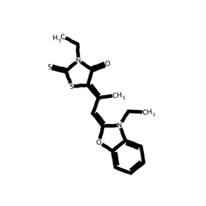 CCN1C(=O)C(=C(C)C=C2Oc3ccccc3N2CC)SC1=S